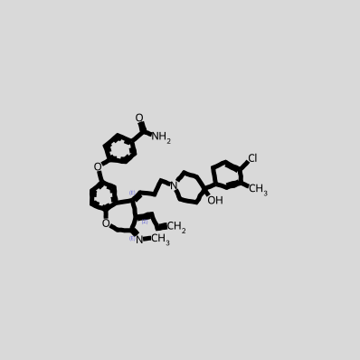 C=C/C=C1C(=C\CCN2CCC(O)(C3C=C(C)C(Cl)=CC3)CC2)/c2cc(Oc3ccc(C(N)=O)cc3)ccc2OCC/1=N/C